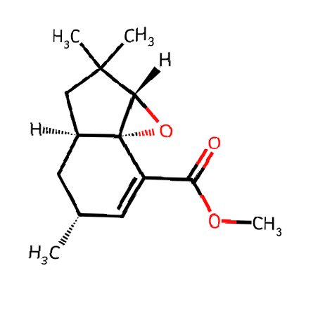 COC(=O)C1=C[C@H](C)C[C@H]2CC(C)(C)[C@@H]3O[C@]123